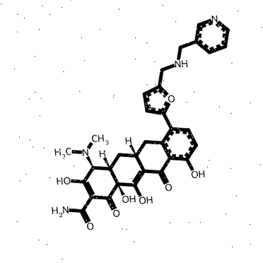 CN(C)[C@@H]1C(O)=C(C(N)=O)C(=O)[C@@]2(O)C(O)=C3C(=O)c4c(O)ccc(-c5ccc(CNCc6cccnc6)o5)c4C[C@H]3C[C@@H]12